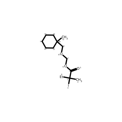 CCC(C)(I)C(=O)OCOCC1(C)CCCCC1